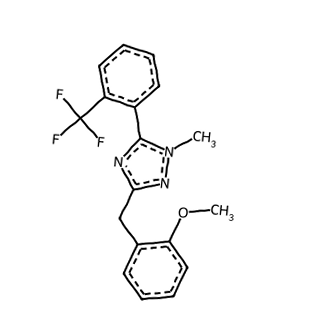 COc1ccccc1Cc1nc(-c2ccccc2C(F)(F)F)n(C)n1